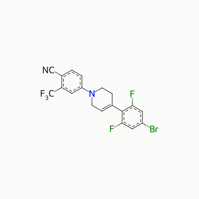 N#Cc1ccc(N2CC=C(c3c(F)cc(Br)cc3F)CC2)cc1C(F)(F)F